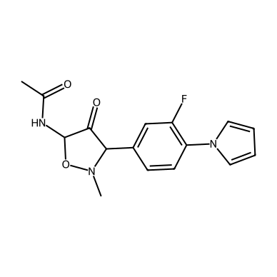 CC(=O)NC1ON(C)C(c2ccc(-n3cccc3)c(F)c2)C1=O